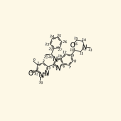 Cc1cc(-c2nc3ccc(C4CN(C)CCO4)cc3n2[C@@H](C)c2ccccc2)nn(C)c1=O